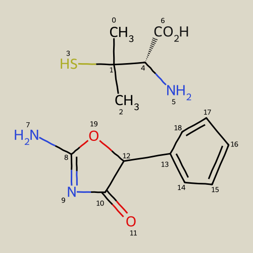 CC(C)(S)[C@@H](N)C(=O)O.NC1=NC(=O)C(c2ccccc2)O1